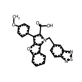 COc1ccc(-c2c(C(=O)O)n(Cc3ccc4nsnc4c3)c3c2oc2ccccc23)cc1